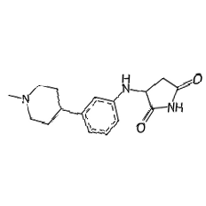 CN1CCC(c2cccc(NC3CC(=O)NC3=O)c2)CC1